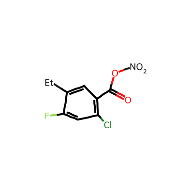 CCc1cc(C(=O)O[N+](=O)[O-])c(Cl)cc1F